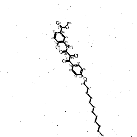 CCCCCCCCCCCCOc1ccc(C(=O)C(Cl)C(=O)Nc2cc(C(=O)OC)ccc2Cl)cc1